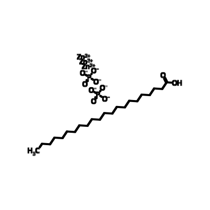 CCCCCCCCCCCCCCCCCCCCCC(=O)O.O=P([O-])([O-])[O-].O=P([O-])([O-])[O-].[Zn+2].[Zn+2].[Zn+2]